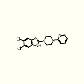 Clc1cc2nc(N3CCN(c4ccccn4)CC3)[nH]c2cc1Cl